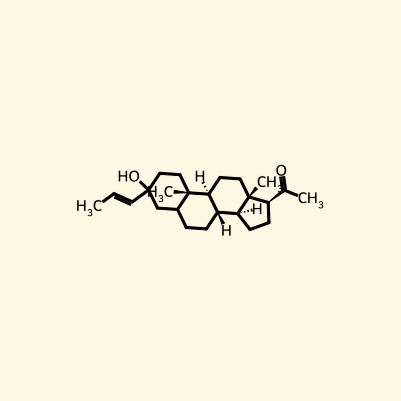 CC=CC1(O)CC[C@@]2(C)C(CC[C@H]3[C@@H]4CC[C@H](C(C)=O)[C@@]4(C)CC[C@@H]32)C1